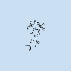 CC(C)(C)OC(=O)N1CC(S(C)(=O)=O)C(S(C)(=O)=O)C1